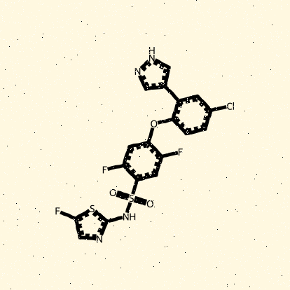 O=S(=O)(Nc1ncc(F)s1)c1cc(F)c(Oc2ccc(Cl)cc2-c2cn[nH]c2)cc1F